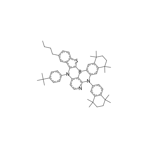 CCCCc1ccc2sc3c(c2c1)N(c1ccc(C(C)(C)C)cc1)c1ccnc2c1B3c1cc3c(cc1N2c1ccc2c(c1)C(C)(C)CCC2(C)C)C(C)(C)CCC3(C)C